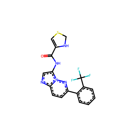 O=C(Nc1cnc2ccc(-c3ccccc3C(F)(F)F)nn12)C1=CSCN1